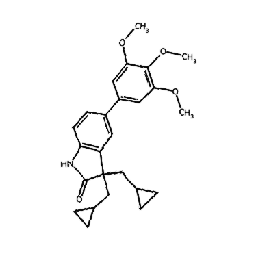 COc1cc(-c2ccc3c(c2)C(CC2CC2)(CC2CC2)C(=O)N3)cc(OC)c1OC